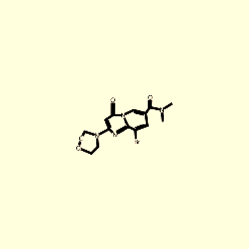 CN(C)C(=O)c1cc(Br)c2nc(N3CCOCC3)cc(=O)n2c1